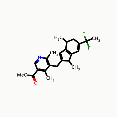 COC(=O)c1cnc(C)c(CC2=CC3=C(C=C(C(C)(F)F)CC3C)C2C)c1C